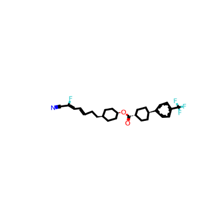 N#CC(F)=CC=CCC[C@H]1CC[C@H](OC(=O)[C@H]2CC[C@H](c3ccc(C(F)(F)F)cc3)CC2)CC1